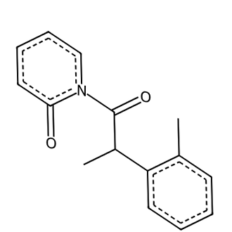 Cc1ccccc1C(C)C(=O)n1ccccc1=O